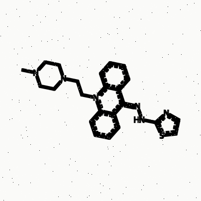 CN1CCN(CCn2c3ccccc3c(=NNc3nccs3)c3ccccc32)CC1